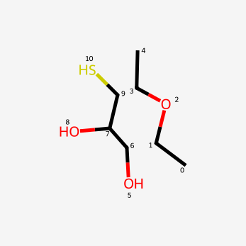 CCOCC.OCC(O)CS